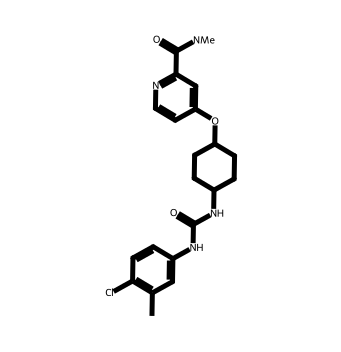 CNC(=O)c1cc(OC2CCC(NC(=O)Nc3ccc(Cl)c(C)c3)CC2)ccn1